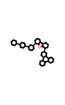 c1ccc(-c2ccc(-c3cccc(-c4cccc5c4oc4c(-c6ccc7c8ccccc8c8ccccc8c7c6)cccc45)c3)cc2)cc1